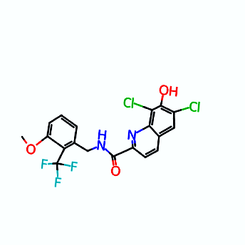 COc1cccc(CNC(=O)c2ccc3cc(Cl)c(O)c(Cl)c3n2)c1C(F)(F)F